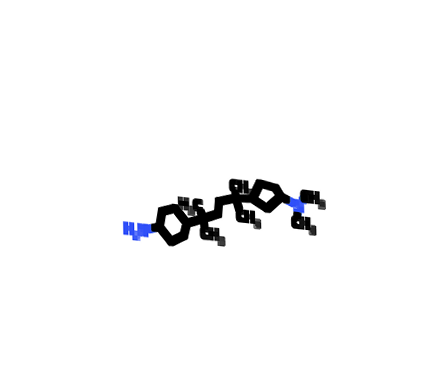 CN(C)C1CCC(C(C)(C)CCC(C)(C)C2CCC(N)CC2)C1